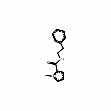 Cn1cccc1C(=O)NCCc1ccccc1